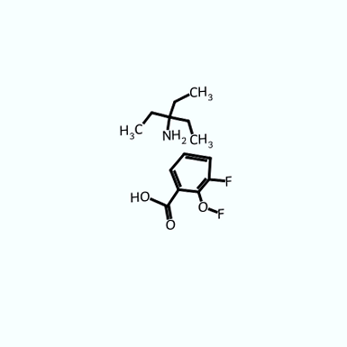 CCC(N)(CC)CC.O=C(O)c1cccc(F)c1OF